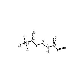 C=CC(=O)NCCC(Cl)[N+](C)(C)C